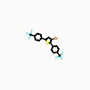 FC(F)(F)c1ccc(-c2cc(Br)c(-c3ccc(C(F)(F)F)cc3)s2)cc1